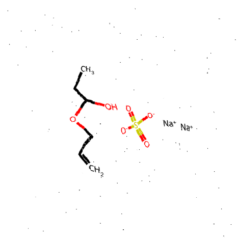 C=CCOC(O)CC.O=S(=O)([O-])[O-].[Na+].[Na+]